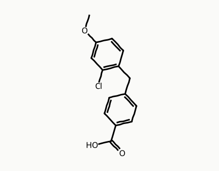 COc1ccc(Cc2ccc(C(=O)O)cc2)c(Cl)c1